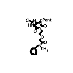 CCCCCn1c(=O)n(CCOCC(=O)N(C)Cc2ccccc2)c(=O)c2[nH]c(Cl)nc21